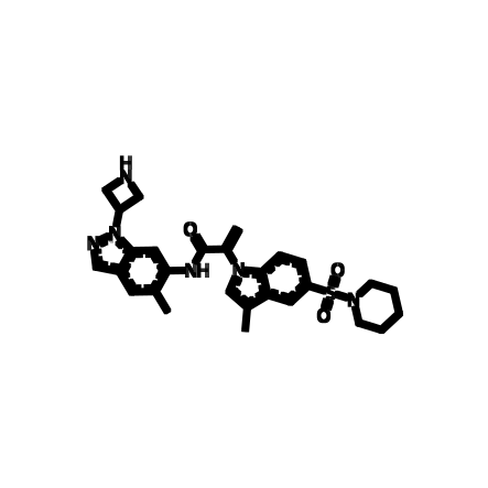 C=C(C(=O)Nc1cc2c(cnn2C2CNC2)cc1C)n1cc(C)c2cc(S(=O)(=O)N3CCCCC3)ccc21